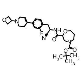 CC(C)(C)OC(=O)N1CCCO[C@H](C(=O)NC(C#N)Cc2ccc(C3=CCN(C4COC4)CC3)cc2F)C1